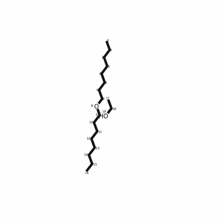 CCCCCCCCOCCCCCCCC.CCO